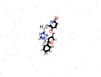 Cc1nc(Br)ccc1OC[C@H]1CO[C@@](Cn2cncn2)(c2ccc(F)cc2F)C1